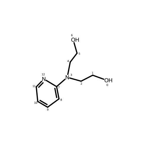 OCCN(CCO)c1ccccn1